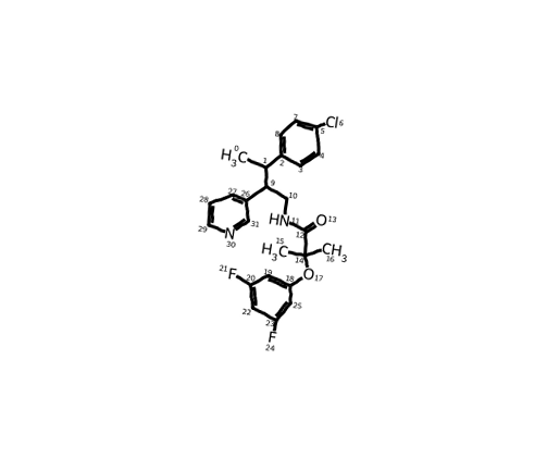 CC(c1ccc(Cl)cc1)C(CNC(=O)C(C)(C)Oc1cc(F)cc(F)c1)c1cccnc1